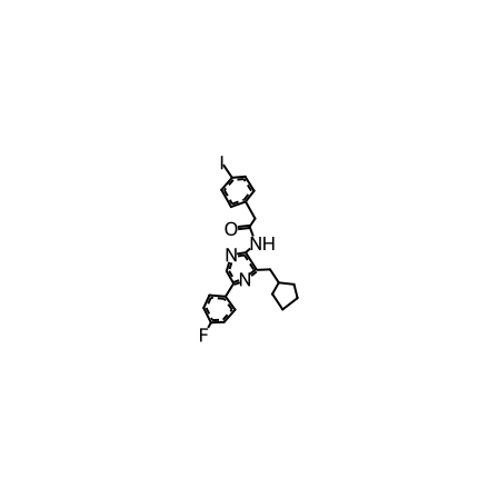 O=C(Cc1ccc(I)cc1)Nc1ncc(-c2ccc(F)cc2)nc1CC1CCCC1